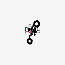 NC(Cc1ccccc1)(C(F)(F)F)C(O)(CCc1ccccc1)C(F)(F)F